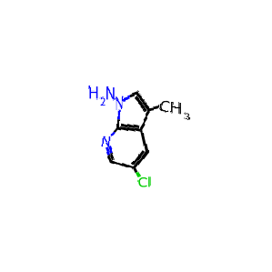 Cc1cn(N)c2ncc(Cl)cc12